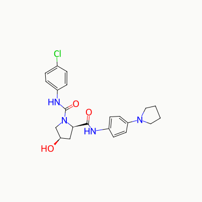 O=C(Nc1ccc(N2CCCC2)cc1)[C@H]1C[C@@H](O)CN1C(=O)Nc1ccc(Cl)cc1